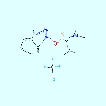 CN(C)C([PH2+]On1nnc2ccccc21)N(C)C.F[B-](F)(F)F